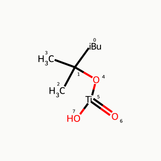 CCC(C)C(C)(C)[O][Ti](=[O])[OH]